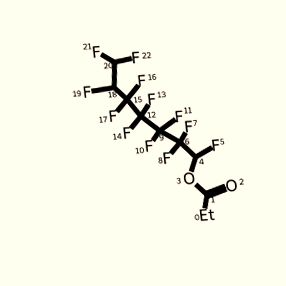 CCC(=O)OC(F)C(F)(F)C(F)(F)C(F)(F)C(F)(F)C(F)C(F)F